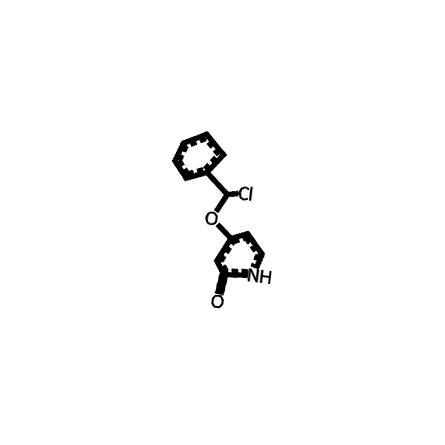 O=c1cc(OC(Cl)c2ccccc2)cc[nH]1